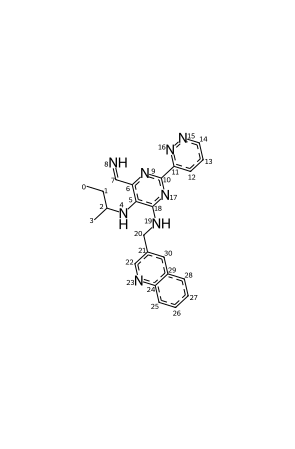 CCC(C)Nc1c(C=N)nc(-c2cccnn2)nc1NCc1cnc2ccccc2c1